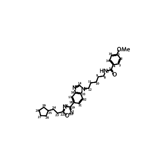 COc1ccc(C(=O)NCCCCCn2cnc3cc(-c4noc(CCC5CCCC5)n4)ccc32)cc1